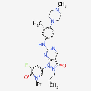 C=CCn1c(=O)c2cnc(Nc3ccc(N4CCN(C)CC4)c(C)c3)nc2n1-c1cc(F)c(=O)n(C(C)C)c1